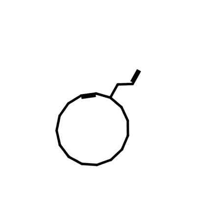 C=CCC1C=CCCCCCCCCCCCC1